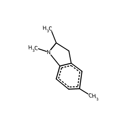 Cc1ccc2c(c1)CC(C)N2C